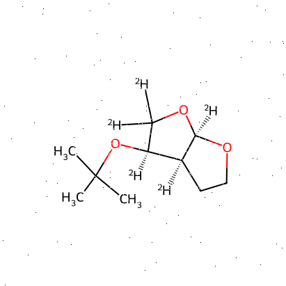 [2H]C1([2H])O[C@@]2([2H])OCC[C@@]2([2H])[C@@]1([2H])OC(C)(C)C